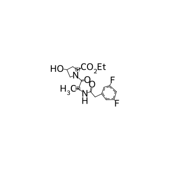 CCOC(=O)[C@@H]1CC(O)CN1C(=O)[C@H](C)NC(=O)Cc1cc(F)cc(F)c1